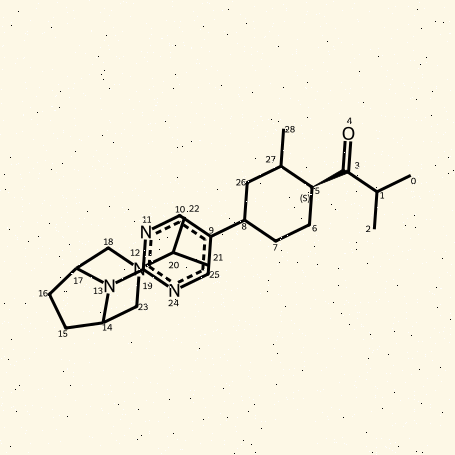 CC(C)C(=O)[C@H]1CCC(c2cnc(N3C4CCC3CN(C(C)C)C4)nc2)CC1C